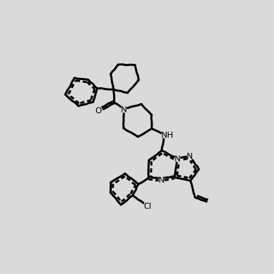 C=Cc1cnn2c(NC3CCN(C(=O)C4(c5ccccc5)CCCCC4)CC3)cc(-c3ccccc3Cl)nc12